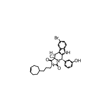 C[C@@]12Cc3c([nH]c4ccc(Br)cc34)[C@@H](c3cccc(O)c3)N1C(=O)N(CCCC1CCC=CCC1)C2=O